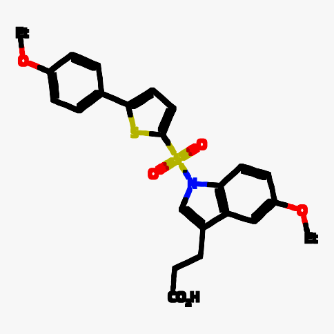 CCOc1ccc(-c2ccc(S(=O)(=O)n3cc(CCC(=O)O)c4cc(OCC)ccc43)s2)cc1